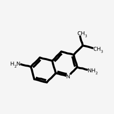 CC(C)c1cc2cc(N)ccc2nc1N